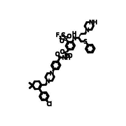 CC1(C)CCC(CN2CCN(c3ccc(C(=O)NS(=O)(=O)c4ccc(N[C@H](CCN5CCNCC5)CSc5ccccc5)c(S(=O)(=O)C(F)(F)F)c4)cc3)CC2)=C(c2ccc(Cl)cc2)C1